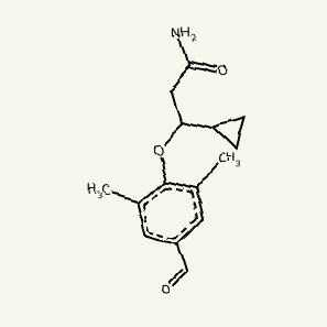 Cc1cc(C=O)cc(C)c1OC(CC(N)=O)C1CC1